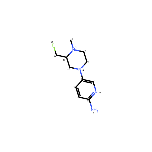 CN1CCN(c2ccc(N)nc2)CC1CF